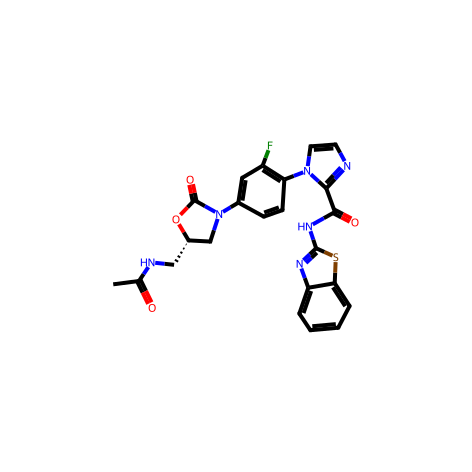 CC(=O)NC[C@H]1CN(c2ccc(-n3ccnc3C(=O)Nc3nc4ccccc4s3)c(F)c2)C(=O)O1